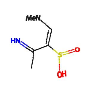 CN/C=C(\C(C)=N)S(=O)O